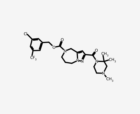 CN1CCN(C(=O)c2cc3n(n2)CCCN(C(=O)OCc2cc(Cl)cc(C(F)(F)F)c2)C3)C(C)(C)C1